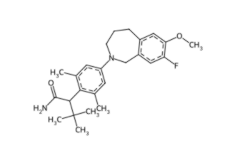 COc1cc2c(cc1F)CN(c1cc(C)c(C(C(N)=O)C(C)(C)C)c(C)c1)CCC2